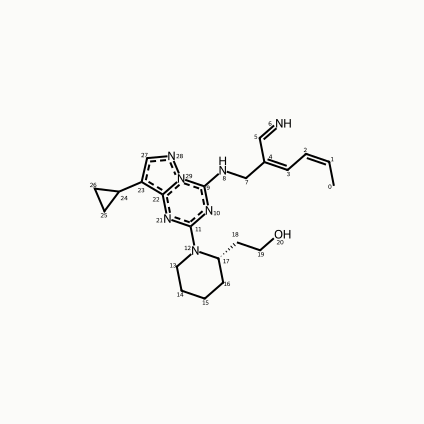 C/C=C\C=C(/C=N)CNc1nc(N2CCCC[C@H]2CCO)nc2c(C3CC3)cnn12